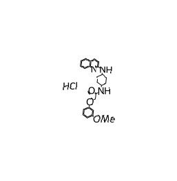 COc1cccc(OCC(=O)NC2CCC(Nc3ccc4ccccc4n3)CC2)c1.Cl